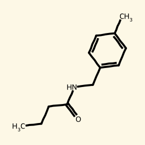 CCCC(=O)NCc1ccc(C)cc1